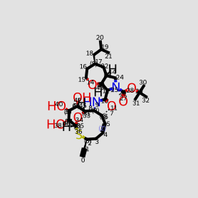 C#C[C@@H]1C/C=C\[C@@H](C)[C@@H](NC(=O)C2[C@@H]3OCC[C@@H](CC(C)C)C[C@H]3CN2C(=O)OC(C)(C)C)[C@H]2O[C@H](S1)[C@H](O)[C@@H](O)[C@H]2O